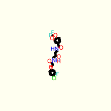 O=C(COc1ccc(Cl)c(F)c1)NC[C@@H](O)CCNC(=O)c1ccc2c(c1)OC(F)(F)O2